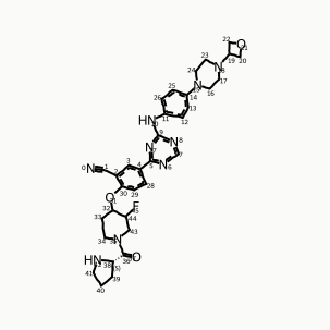 N#Cc1cc(-c2ncnc(Nc3ccc(N4CCN(C5COC5)CC4)cc3)n2)ccc1OC1CCN(C(=O)[C@@H]2CCCN2)CC1F